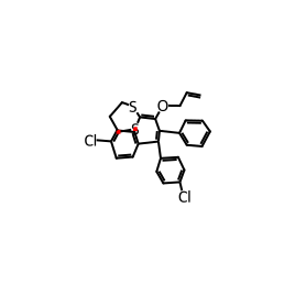 C=CCOC(=C1SCCCS1)C(=C(c1ccc(Cl)cc1)c1ccc(Cl)cc1)c1ccccc1